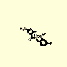 CC1N=C(N)SC1C(=O)NCc1ccc(F)cc1[N+](=O)[O-]